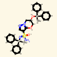 CC(C)(C)[Si](N=S(N)(=O)c1cnn2c1OC[C@H](O[Si](c1ccccc1)(c1ccccc1)C(C)(C)C)C2)(c1ccccc1)c1ccccc1